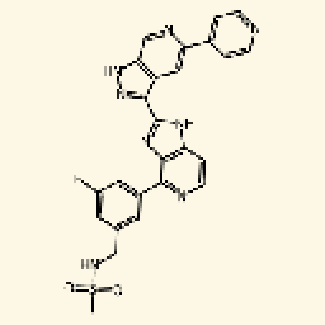 CS(=O)(=O)NCc1cc(F)cc(-c2nccc3[nH]c(-c4n[nH]c5cnc(-c6ccncc6)cc45)nc23)c1